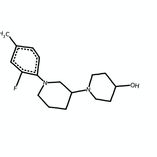 Cc1ccc(N2CCCC(N3CCC(O)CC3)C2)c(F)c1